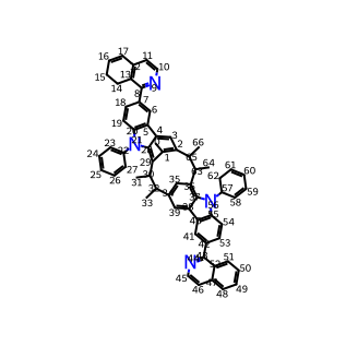 Cc1c2cc3c4cc(-c5nccc6c5CCC=C6)ccc4n(-c4ccccc4)c3c1C(C)C(C)c1cc(c3c(c1)c1cc(-c4nccc5ccccc45)ccc1n3C1C=CC=CC1)C(C)C2C